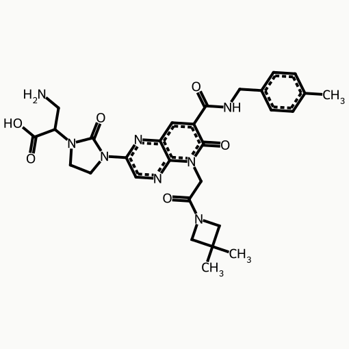 Cc1ccc(CNC(=O)c2cc3nc(N4CCN(C(CN)C(=O)O)C4=O)cnc3n(CC(=O)N3CC(C)(C)C3)c2=O)cc1